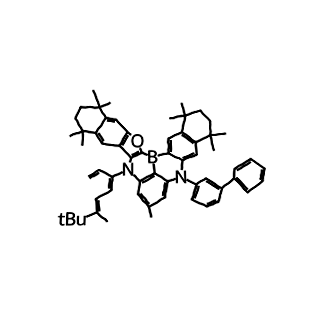 C=C/C(=C\C=C(/C)C(C)(C)C)N1c2cc(C)cc3c2B(c2cc4c(cc2N3c2cccc(-c3ccccc3)c2)C(C)(C)CCC4(C)C)c2oc3cc4c(cc3c21)C(C)(C)CCC4(C)C